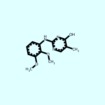 COc1cccc(Nc2ncc(C)c(O)n2)c1OC